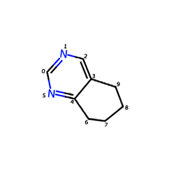 c1ncc2c(n1)CCCC2